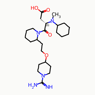 CN(C1CCCCC1)[C@@H](CC(=O)O)C(=O)N1CCCCC1CCOC1CCN(C(=N)N)CC1